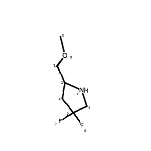 COCC1CC(F)(F)CN1